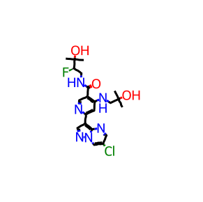 CC(C)(O)CNc1cc(-c2cnn3cc(Cl)cnc23)ncc1C(=O)NC[C@@H](F)C(C)(C)O